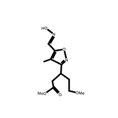 COCCC(CC(=O)OC)c1noc(/C=N/O)c1C